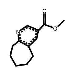 COC(=O)c1cnc2c(c1)CCCCC2